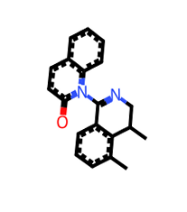 Cc1cccc2c1C(C)CN=C2n1c(=O)ccc2ccccc21